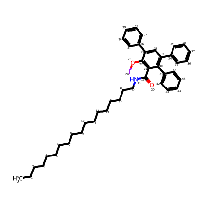 CCCCCCCCCCCCCCCCCCNC(=O)c1c(OI)c(-c2ccccc2)cc(-c2ccccc2)c1-c1ccccc1